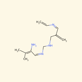 C=C/N=C\C(=C)CNC/N=C\C(N)=C(C)C